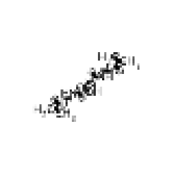 C=C(C)C(=O)OCCNC(=O)OC(O)CSC(=O)NCCOC(=O)C(=C)C